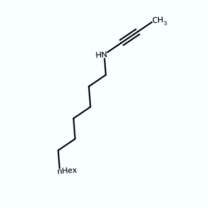 CC#CNCCCCCCCCCCCC